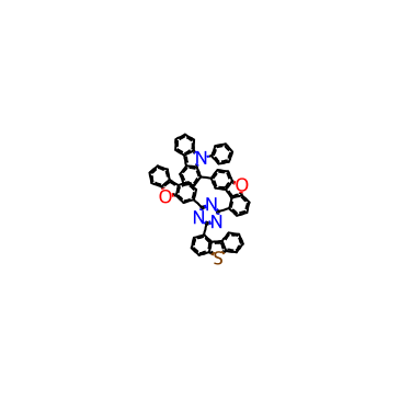 c1ccc(-n2c3ccccc3c3cccc(-c4ccc5oc6cccc(-c7nc(-c8ccc9c(c8)oc8ccccc89)nc(-c8cccc9sc%10ccccc%10c89)n7)c6c5c4)c32)cc1